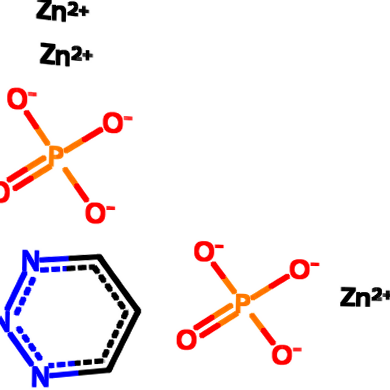 O=P([O-])([O-])[O-].O=P([O-])([O-])[O-].[Zn+2].[Zn+2].[Zn+2].c1cnnnc1